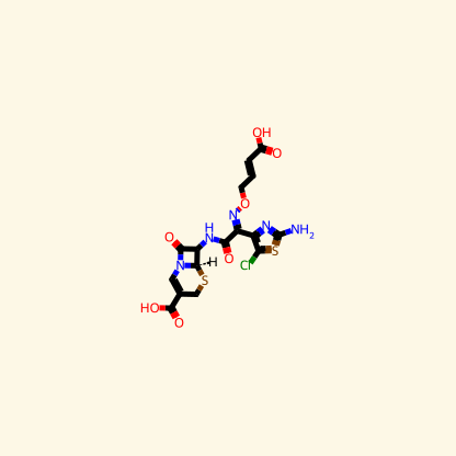 Nc1nc(C(=NOCC=CC(=O)O)C(=O)NC2C(=O)N3C=C(C(=O)O)CS[C@H]23)c(Cl)s1